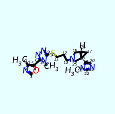 Cc1ncoc1-c1nnc(SCCCN2C[C@@H]3C[C@@]3(c3cncn3C)C2)n1C